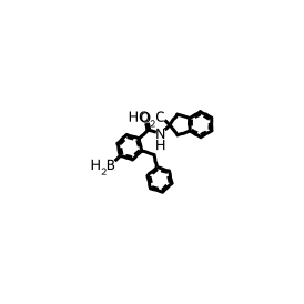 Bc1ccc(C(=O)NC2(C(=O)O)Cc3ccccc3C2)c(Cc2ccccc2)c1